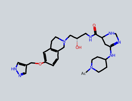 CC(=O)N1CCC(NC2=NCNC(C(=O)NC[C@H](O)CN3CCc4cc(OCc5cn[nH]c5)ccc4C3)C2)CC1